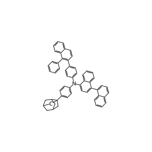 c1ccc(-c2c(-c3ccc(N(c4ccc(C56CC7CC(CC5C7)C6)cc4)c4ccc(-c5cccc6ccccc56)c5ccccc45)cc3)ccc3ccccc23)cc1